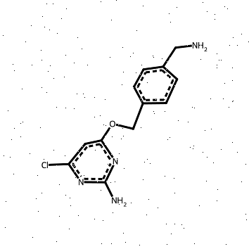 NCc1ccc(COc2cc(Cl)nc(N)n2)cc1